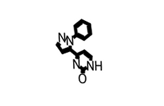 O=c1nc(-c2ccnn2-c2ccccc2)cc[nH]1